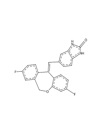 O=c1[nH]c2ccc(C=C3c4ccc(F)cc4COc4cc(F)ccc43)cc2[nH]1